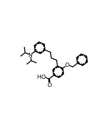 CC(C)N(c1cccc(CCCc2cc(C(=O)O)ccc2OCc2ccccc2)c1)C(C)C